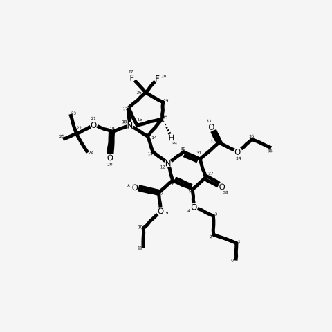 CCCCOc1c(C(=O)OCC)n(CC2[C@H]3CC(N2C(=O)OC(C)(C)C)C(F)(F)C3)cc(C(=O)OCC)c1=O